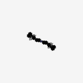 Brc1cc(-c2ccc3cc(/C=C/c4ccc5cc(-c6cc(Br)c(N7Cc8cccc9cccc(c89)C7)c(Br)c6)ccc5c4)ccc3c2)cc(Br)c1N1Cc2cccc3cccc(c23)C1